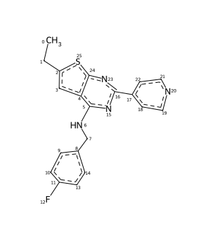 CCc1cc2c(NCc3ccc(F)cc3)nc(-c3ccncc3)nc2s1